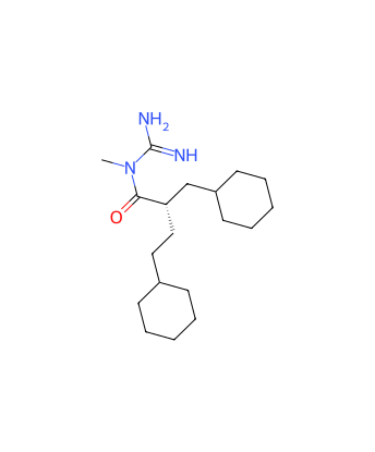 CN(C(=N)N)C(=O)[C@@H](CCC1CCCCC1)CC1CCCCC1